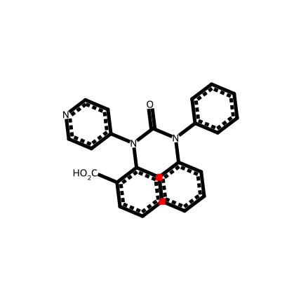 O=C(O)c1ccccc1N(C(=O)N(c1ccccc1)c1ccccc1)c1ccncc1